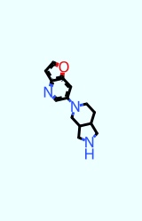 c1cc2ncc(N3CCC4CNCC4C3)cc2o1